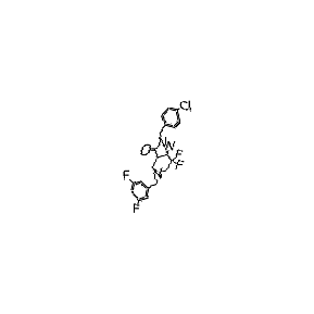 O=C1C2CN(Cc3cc(F)cc(F)c3)CC(F)(F)C2=NN1Cc1ccc(Cl)cc1